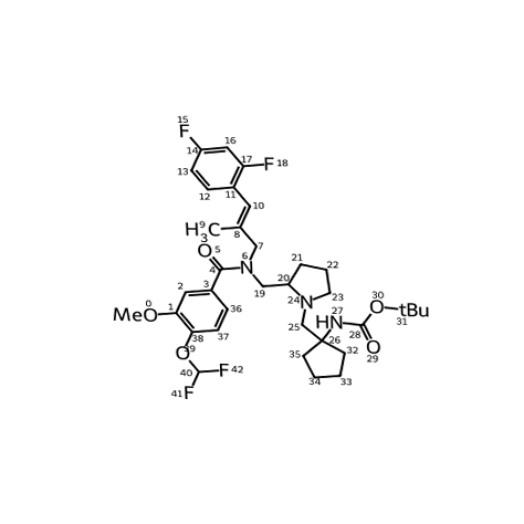 COc1cc(C(=O)N(C/C(C)=C/c2ccc(F)cc2F)CC2CCCN2CC2(NC(=O)OC(C)(C)C)CCCC2)ccc1OC(F)F